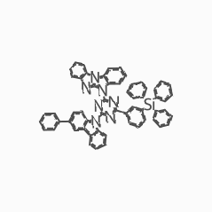 c1ccc(-c2ccc3c(c2)c2ccccc2n3-c2nc(-c3cccc([Si](c4ccccc4)(c4ccccc4)c4ccccc4)c3)nc(-n3c4ccccc4n4c5ccccc5nc34)n2)cc1